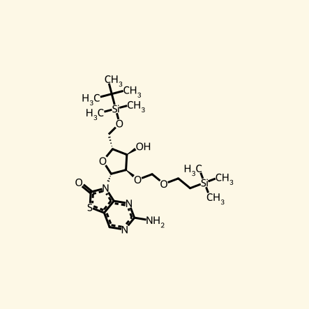 CC(C)(C)[Si](C)(C)OC[C@H]1O[C@@H](n2c(=O)sc3cnc(N)nc32)[C@H](OCOCC[Si](C)(C)C)[C@@H]1O